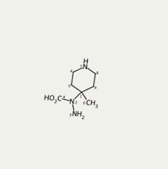 CC1(N(N)C(=O)O)CCNCC1